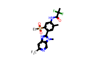 CCS(=O)(=O)c1cc(NC(=O)C(C)(F)F)c(C)cc1-c1nc2cc(C(F)(F)F)ncc2n1C